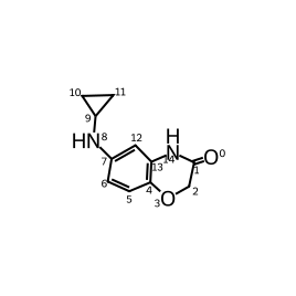 O=C1COc2ccc(NC3CC3)cc2N1